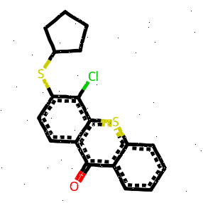 O=c1c2ccccc2sc2c(Cl)c(SC3CCCC3)ccc12